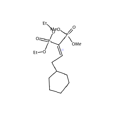 CCOP(=O)(OCC)/C(=C\CC1CCCCC1)P(=O)(OC)OC